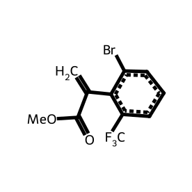 C=C(C(=O)OC)c1c(Br)cccc1C(F)(F)F